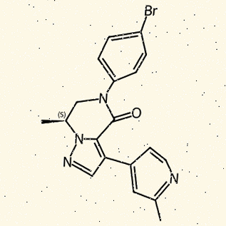 Cc1cc(-c2cnn3c2C(=O)N(c2ccc(Br)cc2)C[C@@H]3C)ccn1